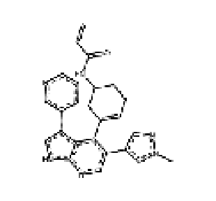 C=CC(=O)NC1CCC=C(c2c(-c3cnn(C)c3)cnc3[nH]cc(-c4cccnc4)c23)C1